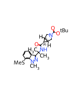 CSc1cccc2c(C(C)(C)NC(=O)[C@H]3[C@@H]4CN(C(=O)OC(C)(C)C)C[C@@H]43)nn(C)c12